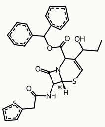 CCC(O)C1=CS[C@@H]2C(NC(=O)Cc3cccs3)C(=O)N2C1C(=O)OC(c1ccccc1)c1ccccc1